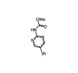 COC(=O)Nc1ncc(C(C)C)cn1